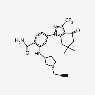 C#CCN1CCC(Nc2cc(-n3nc(C(F)(F)F)c4c3CC(C)(C)CC4=O)ccc2C(N)=O)C1